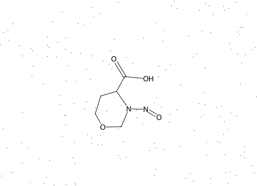 O=NN1COCCC1C(=O)O